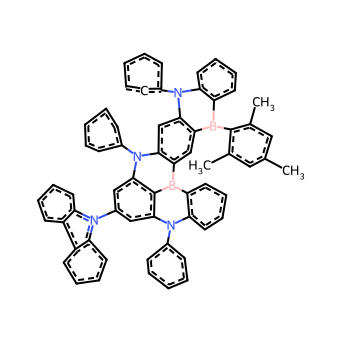 Cc1cc(C)c(B2c3ccccc3N(c3ccccc3)c3cc4c(cc32)B2c3ccccc3N(c3ccccc3)c3cc(-n5c6ccccc6c6ccccc65)cc(c32)N4c2ccccc2)c(C)c1